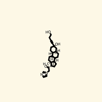 C[C@]12CC[C@H]3[C@@H](CC[C@@H]4C[C@@](O)(C#CCCO)CC[C@@H]43)[C@@H]1CC[C@@H]2C(=O)Cn1ccnc1